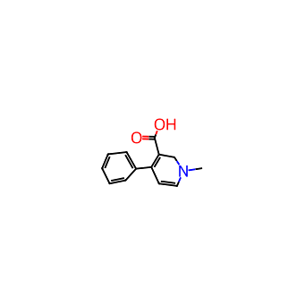 CN1C=CC(c2ccccc2)=C(C(=O)O)C1